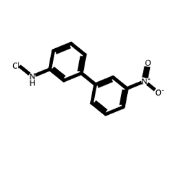 O=[N+]([O-])c1cccc(-c2cccc(NCl)c2)c1